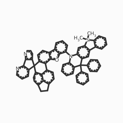 C[Si]1(C)c2ccccc2-c2cc3c(cc21)N(c1cccc2c1oc1c4c(ccc12)C1(c2cccnc2-c2ncccc21)c1ccc2c5c(ccc-4c15)CC2)c1ccccc1C3(c1ccccc1)c1ccccc1